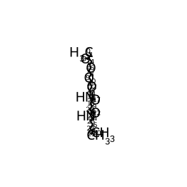 CCC(=O)CCOCCOCCOCCNC(=O)CCCC(=O)NCCCCC(C)C